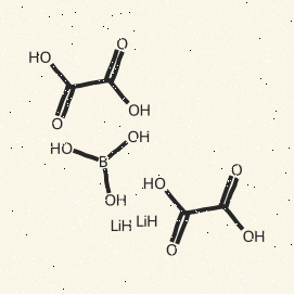 O=C(O)C(=O)O.O=C(O)C(=O)O.OB(O)O.[LiH].[LiH]